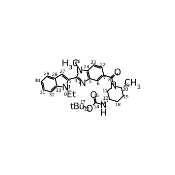 CCn1c(-c2nc3cc(C(=O)N4C[C@@H](NC(=O)OC(C)(C)C)CC[C@H]4C)ccc3n2C)cc2ccccc21